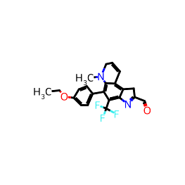 CCOc1ccc(-c2c3c(c4c(c2C(F)(F)F)N=C(C=O)C4)C=CCN3C)cc1